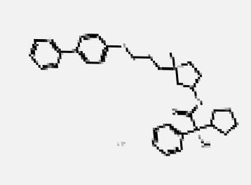 C[N+]1(CCCOc2ccc(-c3ccccc3)cc2)CCC(OC(=O)[C@](O)(c2ccccc2)C2CCCC2)C1.[Cl-]